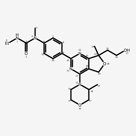 CCNC(=O)N(C)c1ccc(-c2nc(N3CCOCC3C)c3c(n2)C(C)(CCO)OC3)cc1